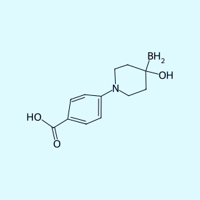 BC1(O)CCN(c2ccc(C(=O)O)cc2)CC1